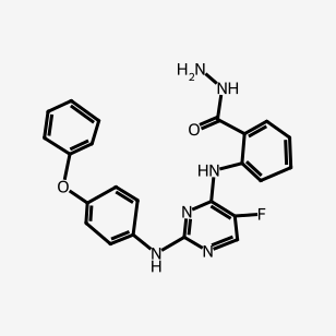 NNC(=O)c1ccccc1Nc1nc(Nc2ccc(Oc3ccccc3)cc2)ncc1F